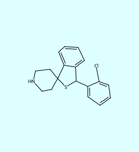 Clc1ccccc1C1SC2(CCNCC2)c2ccccc21